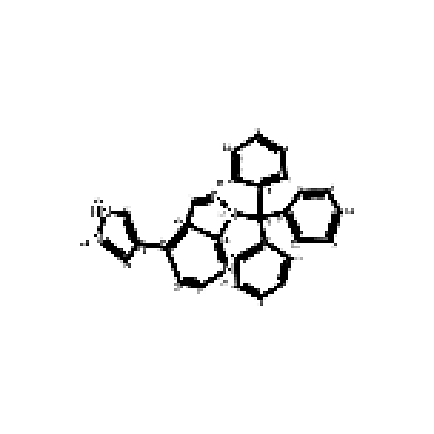 c1ccc(C(c2ccccc2)(c2ccccc2)n2ncc3c(-c4cn[nH]c4)ccnc32)cc1